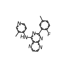 Cc1ccc(F)c(-c2nc(Nc3ccncc3C)c3nccnc3n2)c1